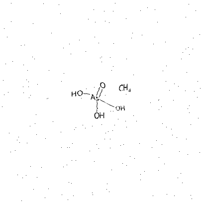 C.O=[As](O)(O)O